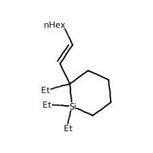 CCCCCCC=CC1(CC)CCCC[Si]1(CC)CC